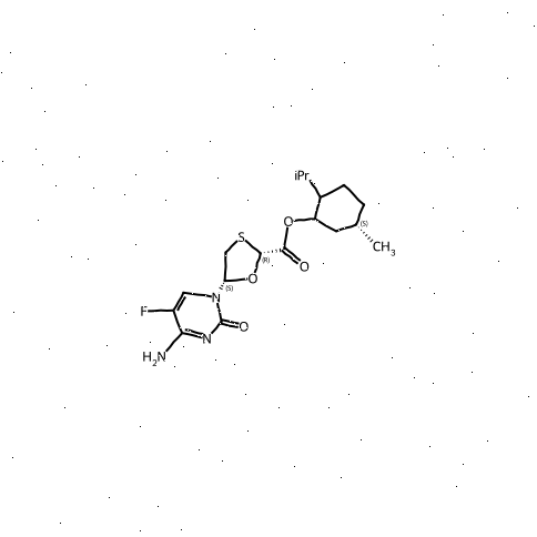 CC(C)C1CC[C@H](C)CC1OC(=O)[C@@H]1O[C@H](n2cc(F)c(N)nc2=O)CS1